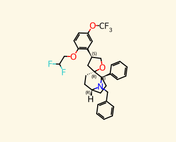 FC(F)COc1ccc(OC(F)(F)F)cc1[C@H]1CO[C@]2(CC[C@H]3CC[C@]2(c2ccccc2)N3Cc2ccccc2)C1